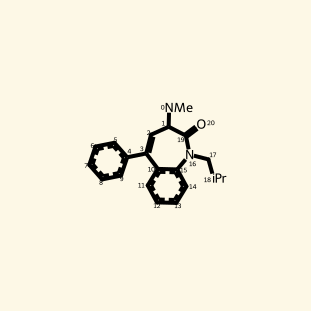 CNC1C=C(c2ccccc2)c2ccccc2N(CC(C)C)C1=O